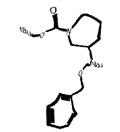 CC(C)(C)OC(=O)N1CCCC(NOCc2ccccc2)C1